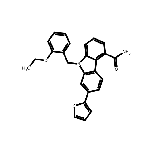 CCOc1ccccc1Cn1c2cc(-c3cccs3)c[c]c2c2c(C(N)=O)cccc21